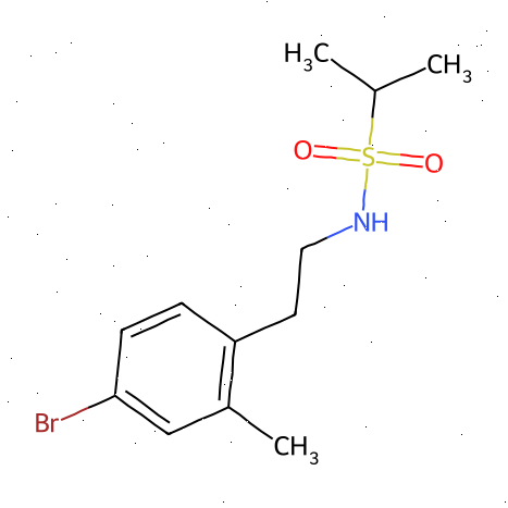 Cc1cc(Br)ccc1CCNS(=O)(=O)C(C)C